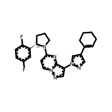 Fc1ccc(F)c([C@@H]2CCCN2c2ccn3ncc(-n4cc(C5=CCCCC5)cn4)c3n2)c1